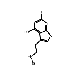 CCNCCc1csc2nc(F)cc(O)c12